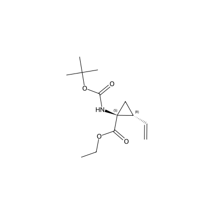 C=C[C@H]1C[C@@]1(NC(=O)OC(C)(C)C)C(=O)OCC